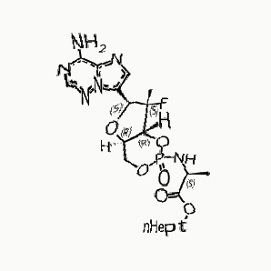 CCCCCCCOC(=O)[C@H](C)NP1(=O)OC[C@H]2O[C@@H](c3cnc4c(N)ncnn34)[C@](C)(F)[C@@H]2O1